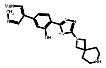 C/N=C\C(=C/NC)c1ccc(-c2nnc(N3CC4(CCNCC4)C3)[nH]2)c(O)c1